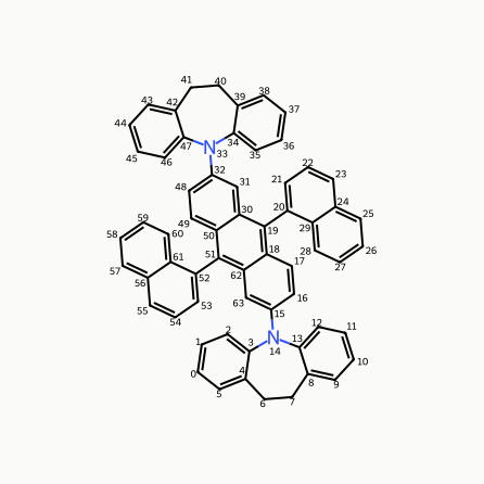 c1ccc2c(c1)CCc1ccccc1N2c1ccc2c(-c3cccc4ccccc34)c3cc(N4c5ccccc5CCc5ccccc54)ccc3c(-c3cccc4ccccc34)c2c1